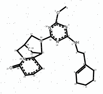 COc1nc(NCCC2=CCCCC2)nc(N2CC3CCC2c2cccc(=O)n2C3)n1